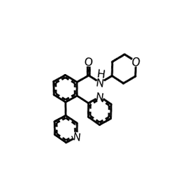 O=C(NC1CCOCC1)c1cccc(-c2cccnc2)c1-c1ccccn1